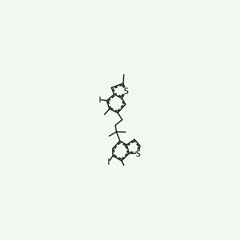 Cc1cc2c(I)c(C)c(CCC(C)(C)c3cc(I)c(C)c4sccc34)cc2s1